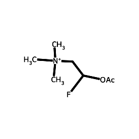 CC(=O)OC(F)C[N+](C)(C)C